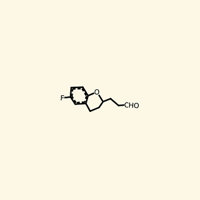 O=CCCC1CCc2cc(F)ccc2O1